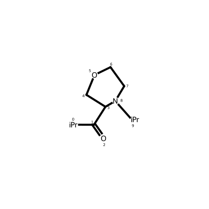 CC(C)C(=O)C1COCCN1C(C)C